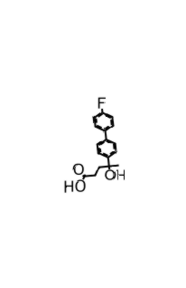 CC(O)(CCC(=O)O)c1ccc(-c2ccc(F)cc2)cc1